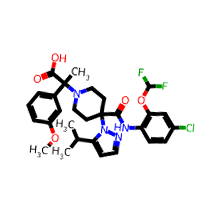 COc1cccc(C(C)(C(=O)O)N2CCC(C(=O)Nc3ccc(Cl)cc3OC(F)F)(n3nccc3C(C)C)CC2)c1